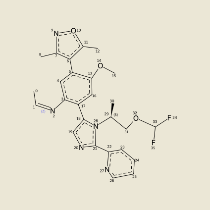 C/C=N\c1cc(-c2c(C)noc2C)c(OC)cc1-c1cnc(-c2ccccn2)n1[C@@H](C)COC(F)F